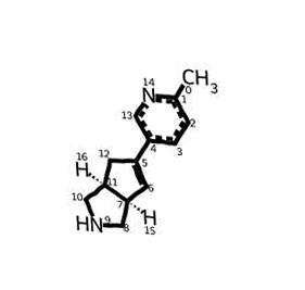 Cc1ccc(C2=C[C@H]3CNC[C@H]3C2)cn1